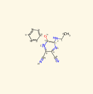 CCNc1nc(C#N)c(C#N)nc1Oc1ccccc1